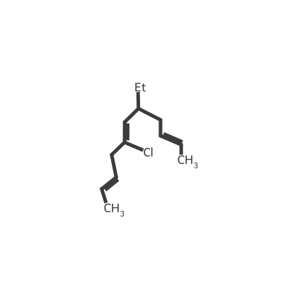 CC=CCC(Cl)=CC(CC)CC=CC